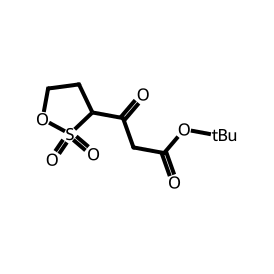 CC(C)(C)OC(=O)CC(=O)C1CCOS1(=O)=O